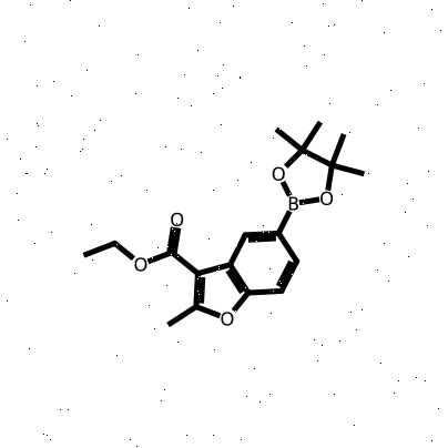 CCOC(=O)c1c(C)oc2ccc(B3OC(C)(C)C(C)(C)O3)cc12